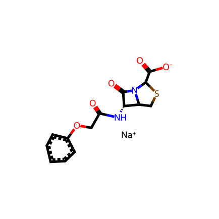 O=C(COc1ccccc1)N[C@@H]1C(=O)N2C(C(=O)[O-])SCC12.[Na+]